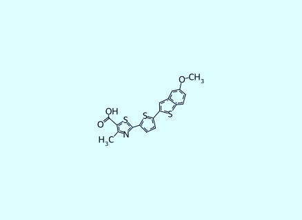 COc1ccc2sc(-c3ccc(-c4nc(C)c(C(=O)O)s4)s3)cc2c1